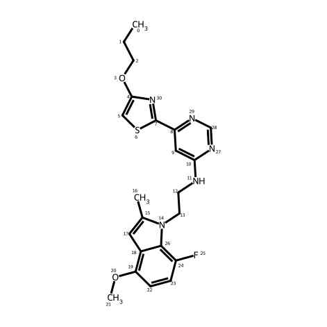 CCCOc1csc(-c2cc(NCCn3c(C)cc4c(OC)ccc(F)c43)ncn2)n1